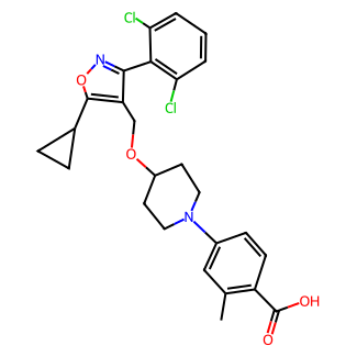 Cc1cc(N2CCC(OCc3c(-c4c(Cl)cccc4Cl)noc3C3CC3)CC2)ccc1C(=O)O